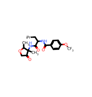 CC(C)CC(NC(=O)c1ccc(OC(F)(F)F)cc1)C(=O)NC1(C)C(=O)COC1C